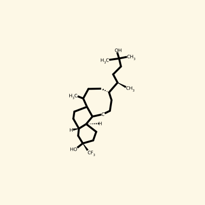 CC1CC[C@H]([C@H](C)CCC(C)(C)O)CCCC2C1CC[C@H]1C[C@](O)(C(F)(F)F)CC[C@H]21